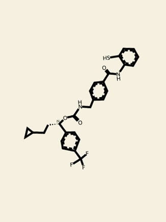 O=C(NCc1ccc(C(=O)Nc2ccccc2S)cc1)O[C@@H](CCC1CC1)c1ccc(C(F)(F)F)cc1